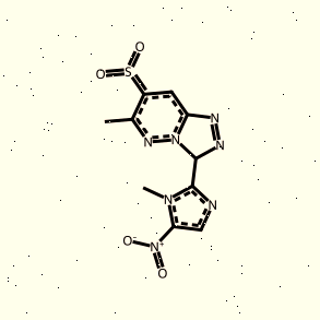 Cc1nn2c(cc1=S(=O)=O)N=NC2c1ncc([N+](=O)[O-])n1C